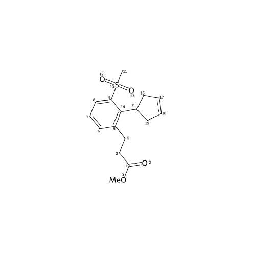 COC(=O)CCc1cccc(S(C)(=O)=O)c1C1CC=CC1